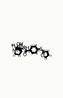 C[C@H]1[C@H](NC(=O)c2ccc(SN3C=CCO3)cc2)C2CCN1CC2